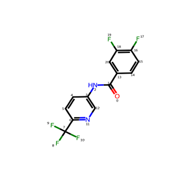 O=C(Nc1ccc(C(F)(F)F)nc1)c1ccc(F)c(F)c1